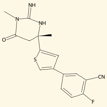 CN1C(=N)N[C@](C)(c2cc(-c3ccc(F)c(C#N)c3)cs2)CC1=O